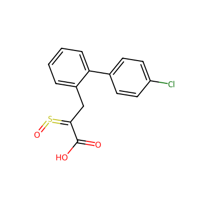 O=S=C(Cc1ccccc1-c1ccc(Cl)cc1)C(=O)O